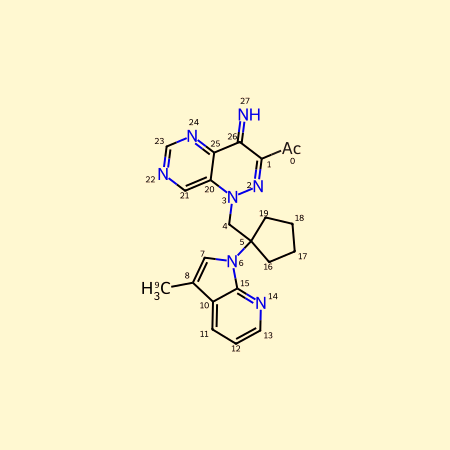 CC(=O)c1nn(CC2(n3cc(C)c4cccnc43)CCCC2)c2cncnc2c1=N